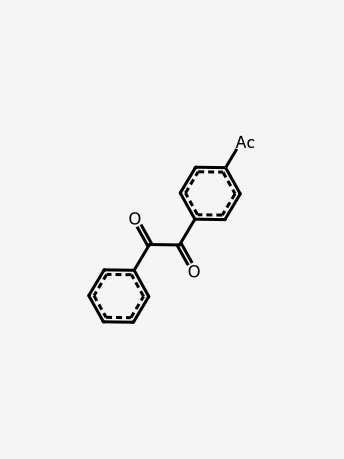 CC(=O)c1ccc(C(=O)C(=O)c2ccccc2)cc1